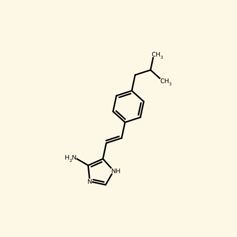 CC(C)Cc1ccc(/C=C/c2[nH]cnc2N)cc1